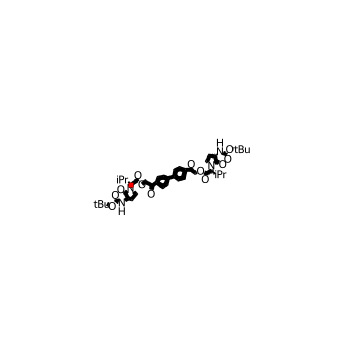 CC(C)[C@@H](C(=O)OCC(=O)c1ccc(-c2ccc(C(=O)COC(=O)[C@H](C(C)C)N3CC[C@H](NC(=O)OC(C)(C)C)C3=O)cc2)cc1)N1CCC(NC(=O)OC(C)(C)C)C1=O